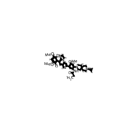 C=CC(=O)Nc1cc(-c2cc3c(cn2)cc(-c2c(Cl)c(OC)cc(OC)c2Cl)c2nccn23)c(OC)cc1N1CCC2(CC1)CCN(C1CC1)CC2